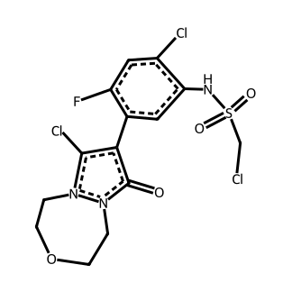 O=c1c(-c2cc(NS(=O)(=O)CCl)c(Cl)cc2F)c(Cl)n2n1CCOCC2